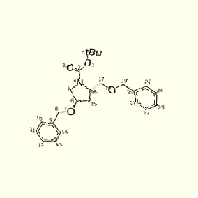 CC(C)(C)OC(=O)N1C[C@H](OCc2ccccc2)C[C@H]1COCc1ccccc1